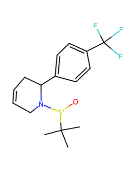 CC(C)(C)[S+]([O-])N1CC=CCC1c1ccc(C(F)(F)F)cc1